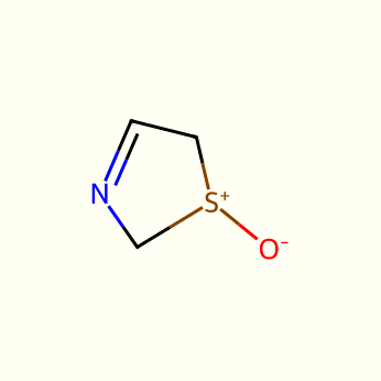 [O-][S+]1CC=NC1